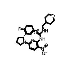 O=C(NCC1CCOCC1)Nc1nc(N2CCC[C@@H]2c2cc(F)ccc2F)ccc1[N+](=O)[O-]